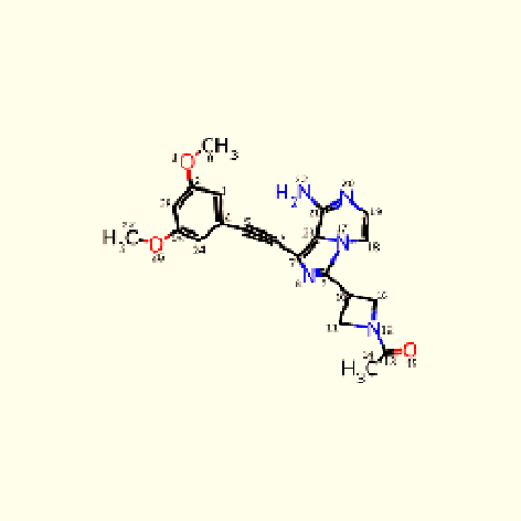 COc1cc(C#Cc2nc(C3CN(C(C)=O)C3)n3ccnc(N)c23)cc(OC)c1